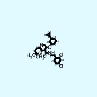 CC1(C)CCc2ncc(Oc3cccc(C4CC4)c3)c(C(=O)NCCc3ccc(Cl)cc3Cl)c2O1